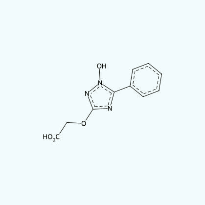 O=C(O)COc1nc(-c2ccccc2)n(O)n1